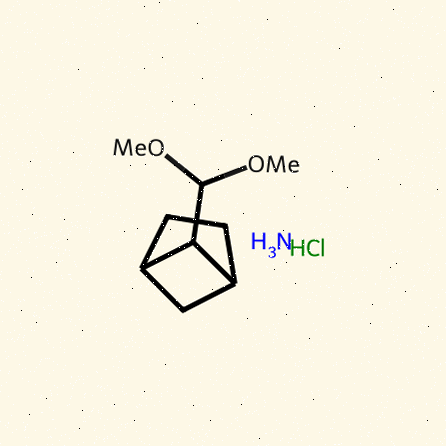 COC(OC)C1C2CCC1C2.Cl.N